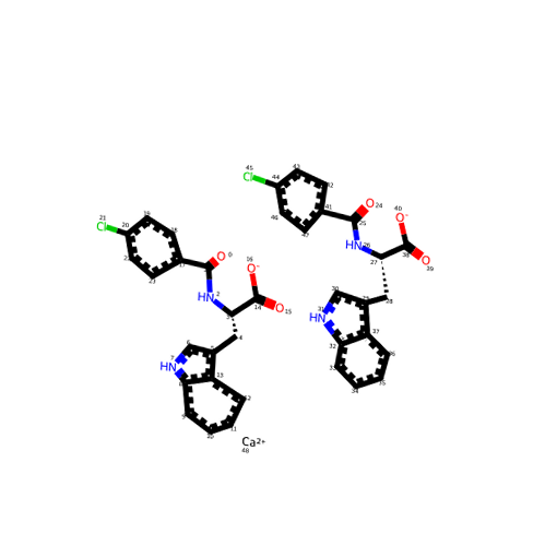 O=C(N[C@@H](Cc1c[nH]c2ccccc12)C(=O)[O-])c1ccc(Cl)cc1.O=C(N[C@@H](Cc1c[nH]c2ccccc12)C(=O)[O-])c1ccc(Cl)cc1.[Ca+2]